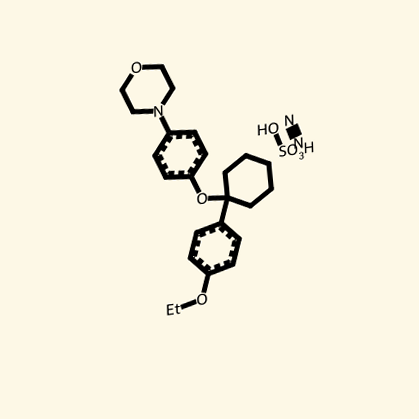 CCOc1ccc(C2(Oc3ccc(N4CCOCC4)cc3)CCCCC2)cc1.N#N.O=S(=O)(O)O